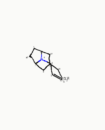 C=CCN1C2CCC1CC(CC(=O)O)C2